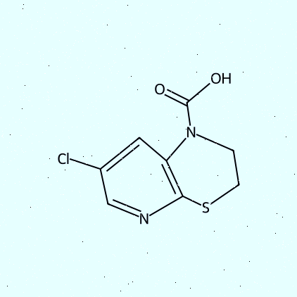 O=C(O)N1CCSc2ncc(Cl)cc21